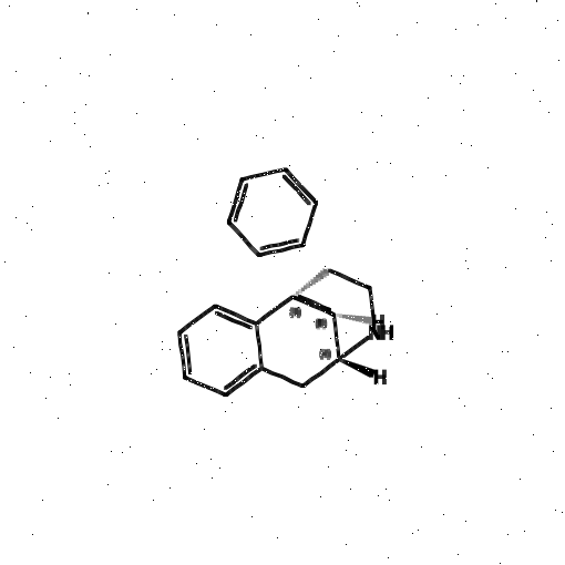 c1ccc2c(c1)C[C@H]1NCC[C@@]23CCCC[C@@H]13.c1ccccc1